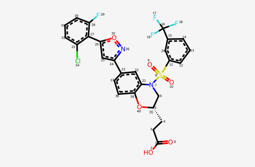 O=C(O)CC[C@H]1CN(S(=O)(=O)c2cccc(C(F)(F)F)c2)c2cc(-c3cc(-c4c(F)cccc4Cl)on3)ccc2O1